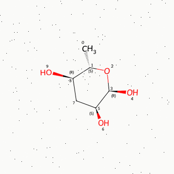 C[C@@H]1O[C@@H](O)[C@@H](O)C[C@H]1O